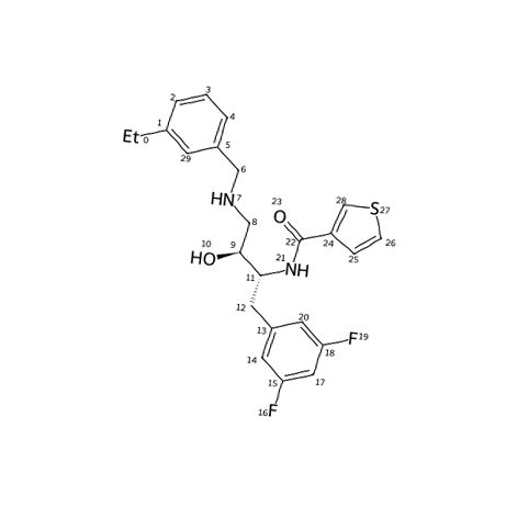 CCc1cccc(CNC[C@H](O)[C@@H](Cc2cc(F)cc(F)c2)NC(=O)c2ccsc2)c1